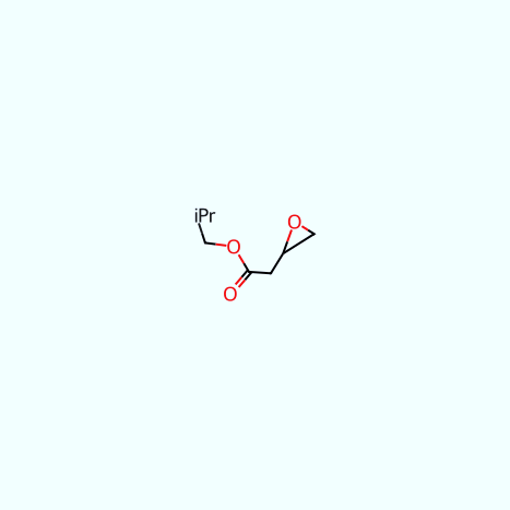 CC(C)COC(=O)CC1CO1